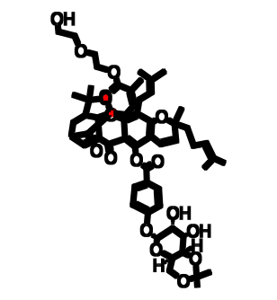 CC(C)=CCCC1(C)C=Cc2c(c(CC=C(C)C)c3c(c2OC(=O)c2ccc(O[C@@H]4O[C@@H]5COC(C)(C)O[C@H]5[C@@H](O)[C@H]4O)cc2)C(=O)C2=CC4CC5C(C)(C)OC(C/C=C(/C)C(=O)OCCOCCO)(C4=O)C25O3)O1